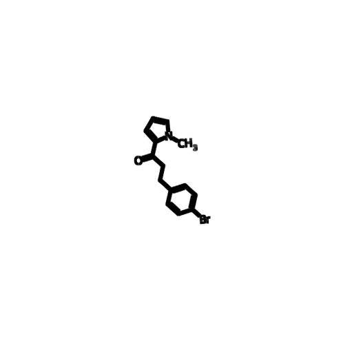 Cn1cccc1C(=O)CCc1ccc(Br)cc1